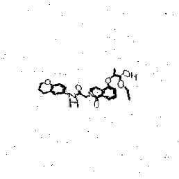 CCO[C@@H](O)C(C)Oc1cccc2c(=O)n(CC(=O)Nc3ccc4c(c3)CCCO4)ccc12